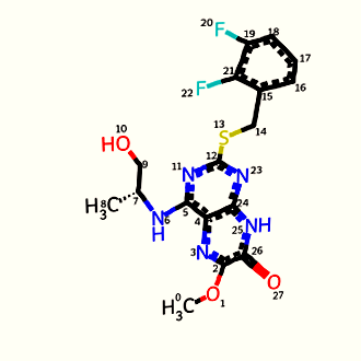 COc1nc2c(N[C@H](C)CO)nc(SCc3cccc(F)c3F)nc2[nH]c1=O